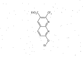 CCOC(=O)c1cc2ccc(OCC)nc2nc1C(F)(F)F